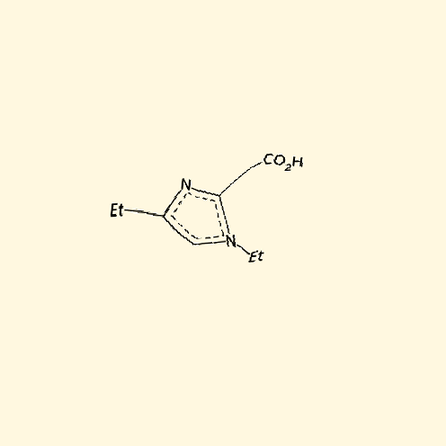 CCc1cn(CC)c(C(=O)O)n1